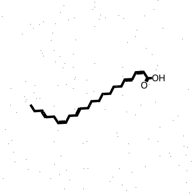 CC/C=C/C/C=C\C/C=C/CCCCCCCC=C/C=C\C(=O)O